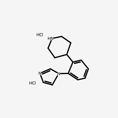 Cl.Cl.c1ccc(-n2ccnc2)c(C2CCNCC2)c1